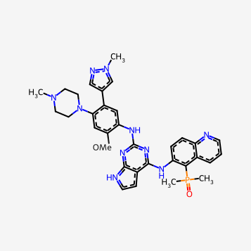 COc1cc(N2CCN(C)CC2)c(-c2cnn(C)c2)cc1Nc1nc(Nc2ccc3ncccc3c2P(C)(C)=O)c2cc[nH]c2n1